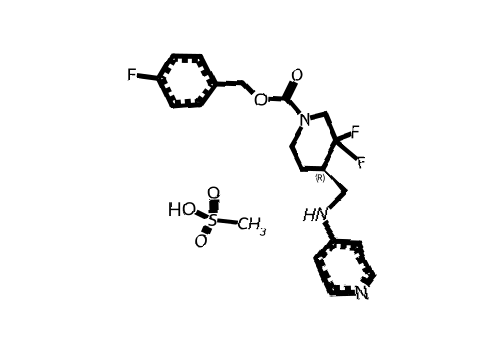 CS(=O)(=O)O.O=C(OCc1ccc(F)cc1)N1CC[C@H](CNc2ccncc2)C(F)(F)C1